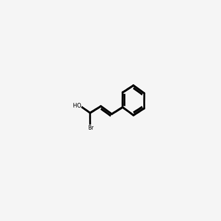 OC(Br)C=Cc1ccccc1